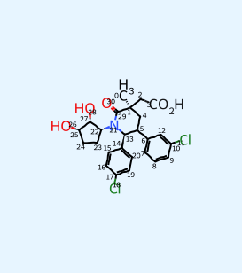 C[C@]1(CC(=O)O)CC(c2cccc(Cl)c2)[C@@H](c2ccc(Cl)cc2)N([C@H]2CC[C@@H](O)[C@H]2O)C1=O